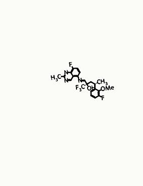 COc1c(F)cccc1[C@@H](C)C[C@@](O)(C=Nc1ccc(F)c2nc(C)ncc12)C(F)(F)F